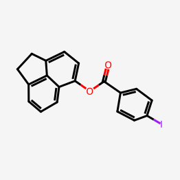 O=C(Oc1ccc2c3c(cccc13)CC2)c1ccc(I)cc1